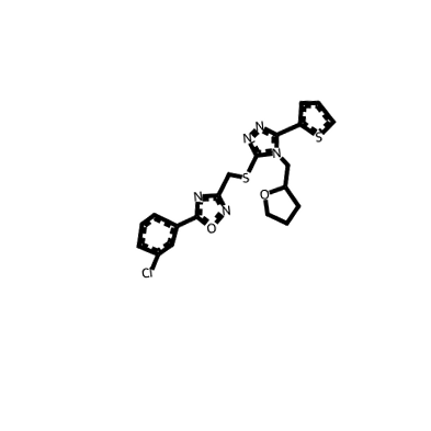 Clc1cccc(-c2nc(CSc3nnc(-c4cccs4)n3CC3CCCO3)no2)c1